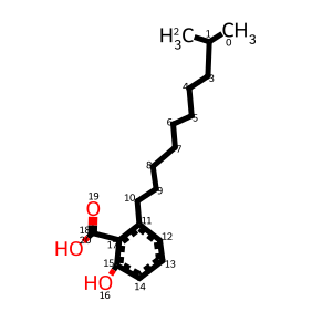 CC(C)CCCCCCCCc1cccc(O)c1C(=O)O